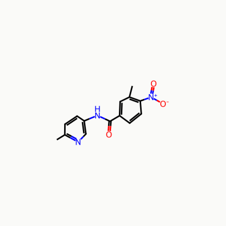 Cc1ccc(NC(=O)c2ccc([N+](=O)[O-])c(C)c2)cn1